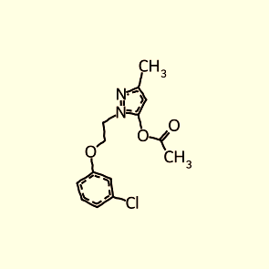 CC(=O)Oc1cc(C)nn1CCOc1cccc(Cl)c1